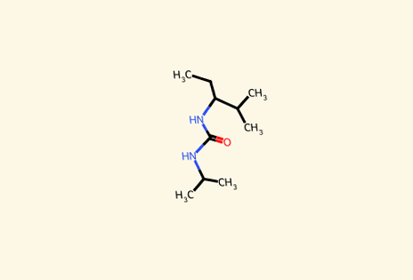 CCC(NC(=O)NC(C)C)C(C)C